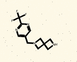 FC(F)(F)c1ncc(CN2CC3(CNC3)C2)cn1